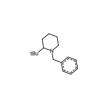 CC(C)(C)C1CCCCN1Cc1ccccc1